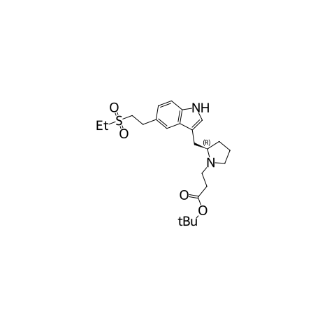 CCS(=O)(=O)CCc1ccc2[nH]cc(C[C@H]3CCCN3CCC(=O)OC(C)(C)C)c2c1